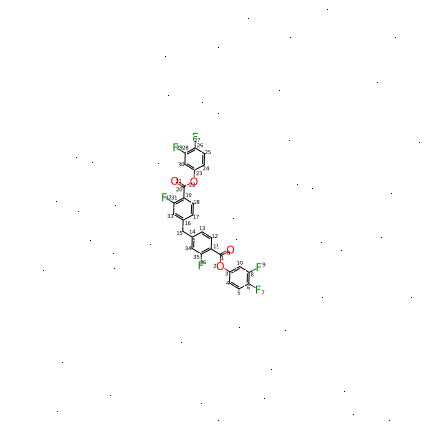 O=C(Oc1ccc(F)c(F)c1)c1ccc(Cc2ccc(C(=O)Oc3ccc(F)c(F)c3)c(F)c2)cc1F